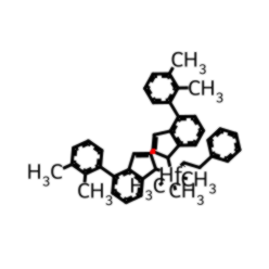 Cc1cccc(-c2cccc3c2C=C[CH]3[Hf]([CH3])([CH3])([CH3])(=[CH]Cc2ccccc2)[CH]2C=Cc3c(-c4cccc(C)c4C)cccc32)c1C